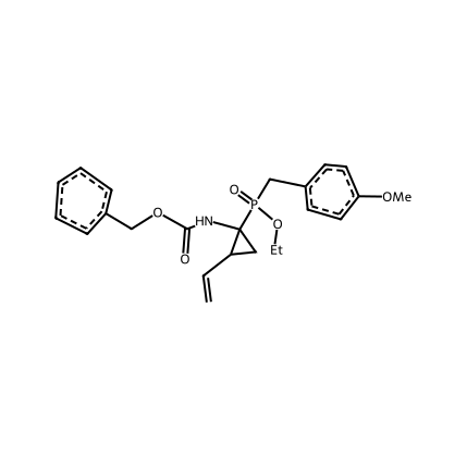 C=CC1CC1(NC(=O)OCc1ccccc1)P(=O)(Cc1ccc(OC)cc1)OCC